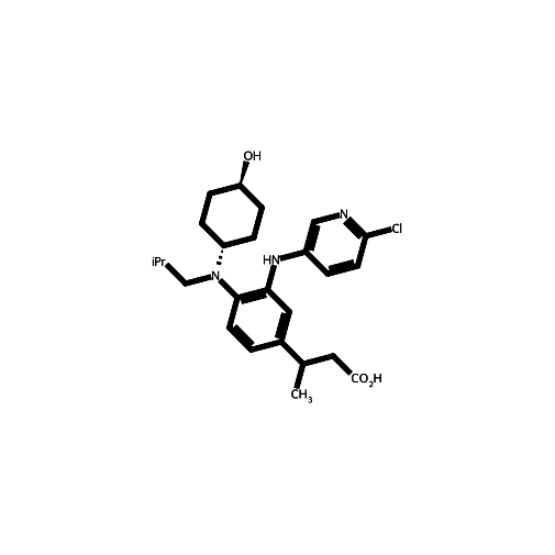 CC(C)CN(c1ccc(C(C)CC(=O)O)cc1Nc1ccc(Cl)nc1)[C@H]1CC[C@H](O)CC1